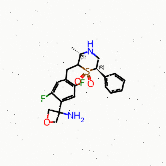 C[C@@H]1NC[C@@H](c2ccccc2)S(=O)(=O)C1Cc1cc(F)c(C2(N)COC2)cc1F